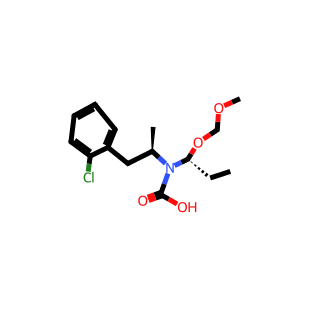 CC[C@@H](OCOC)N(C(=O)O)[C@H](C)Cc1ccccc1Cl